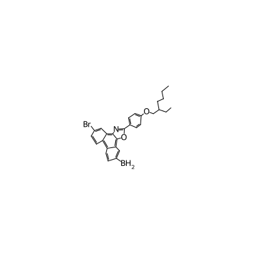 Bc1ccc2c3ccc(Br)cc3c3nc(-c4ccc(OCC(CC)CCCC)cc4)oc3c2c1